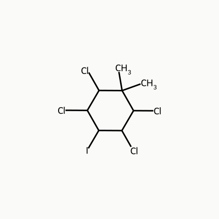 CC1(C)C(Cl)C(Cl)C(I)C(Cl)C1Cl